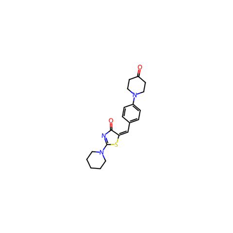 O=C1CCN(c2ccc(C=C3SC(N4CCCCC4)=NC3=O)cc2)CC1